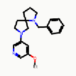 CCOc1cncc(N2CCC3(CCCN3Cc3ccccc3)C2)c1